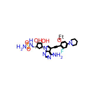 CCOc1cc(N2CCCCC2)cc(F)c1C#Cc1cn([C@@H]2C[C@H](CNS(N)(=O)=O)[C@@H](O)[C@H]2O)c2ncnc(N)c12